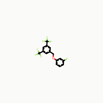 Fc1cc[c]c(OCc2cc(C(F)(F)F)cc(C(F)(F)F)c2)c1